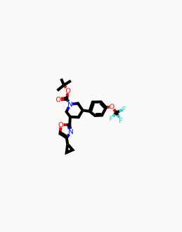 CC(C)(C)OC(=O)N1CC(c2ccc(OC(F)(F)F)cc2)CC(c2nc(C3CC3)co2)C1